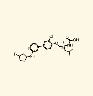 CC(C)C[C@@](C)(COc1ccc(-c2ccnc(NC3CCC(F)C3)c2)cc1Cl)NC(=O)O